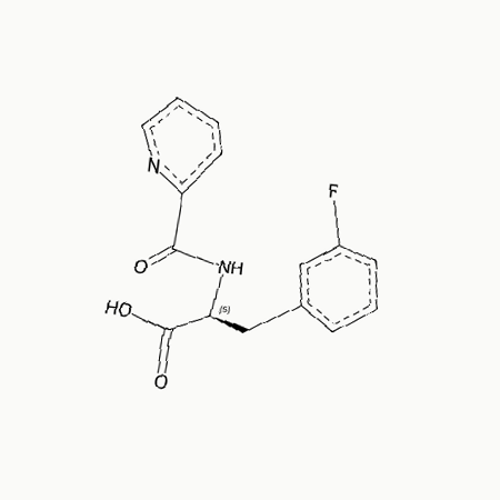 O=C(N[C@@H](Cc1cccc(F)c1)C(=O)O)c1ccccn1